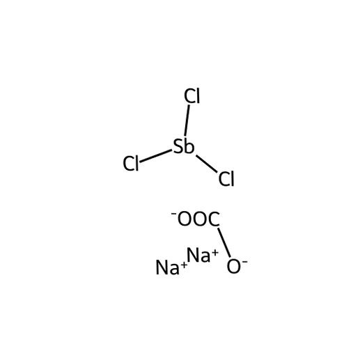 O=C([O-])[O-].[Cl][Sb]([Cl])[Cl].[Na+].[Na+]